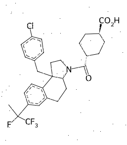 CC(F)(c1ccc2c(c1)CCC1N(C(=O)[C@H]3CC[C@H](C(=O)O)CC3)CCC21Cc1ccc(Cl)cc1)C(F)(F)F